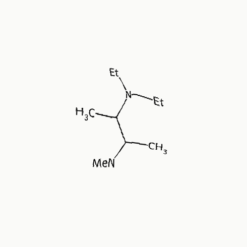 CCN(CC)C(C)C(C)NC